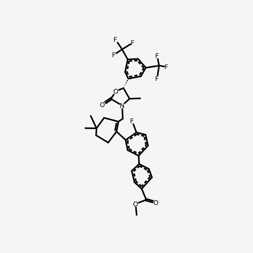 COC(=O)c1ccc(-c2ccc(F)c(C3=C(CN4C(=O)O[C@H](c5cc(C(F)(F)F)cc(C(F)(F)F)c5)C4C)CC(C)(C)CC3)c2)cc1